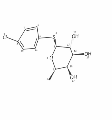 C[C@H]1O[C@@H](Sc2ccc(Cl)cc2)[C@H](O)[C@@H](O)[C@H]1O